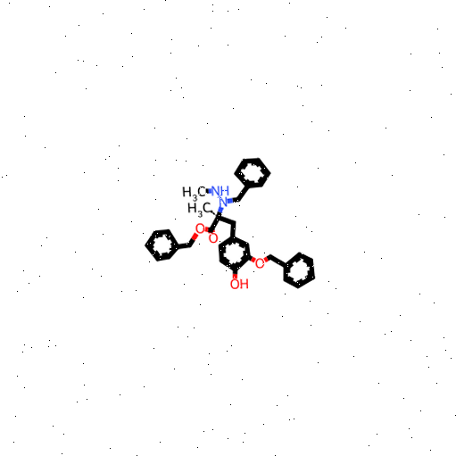 CNN(Cc1ccccc1)[C@@](C)(Cc1ccc(O)c(OCc2ccccc2)c1)C(=O)OCc1ccccc1